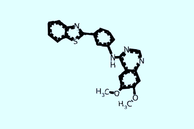 COc1cc2ncnc(Nc3cccc(-c4nc5ccccc5s4)c3)c2cc1OC